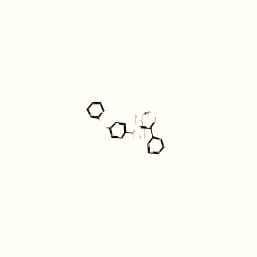 [c]1cccc(-c2cncnc2Nc2ccc(Oc3ccccc3)cc2)c1